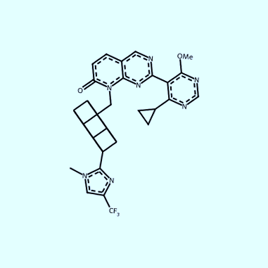 COc1ncnc(C2CC2)c1-c1ncc2ccc(=O)n(CC34C5C6C3C3C4C5C63c3nc(C(F)(F)F)cn3C)c2n1